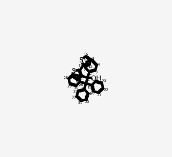 OC(c1ccccc1)(c1ccsc1-c1cccs1)C(c1ccccc1)(c1ccccc1)c1ccccc1